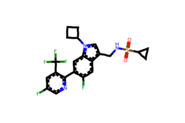 O=S(=O)(NCc1cn(C2CCC2)c2cc(-c3ncc(F)cc3C(F)(F)F)c(F)cc12)C1CC1